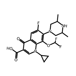 CC1CN(c2c(F)cc3c(=O)c(C(=O)O)cn(C4CC4)c3c2OC(F)F)CC(C)N1